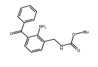 CC(C)(C)OC(=O)NCc1cccc(C(=O)c2ccccc2)c1N